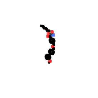 CCCCCCS(=O)(=O)NC(=O)c1ccc(COCc2ccc(-c3cccc(OC)c3)cc2)cc1